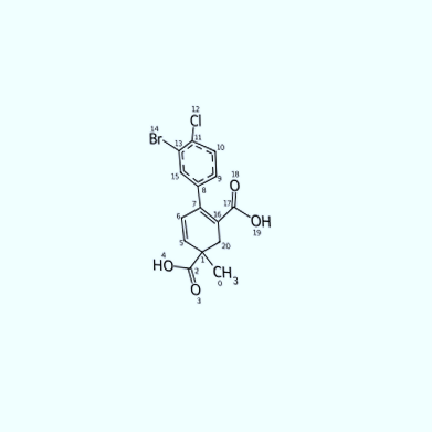 CC1(C(=O)O)C=CC(c2ccc(Cl)c(Br)c2)=C(C(=O)O)C1